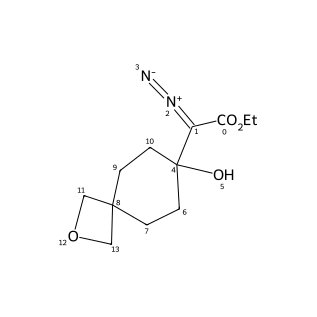 CCOC(=O)C(=[N+]=[N-])C1(O)CCC2(CC1)COC2